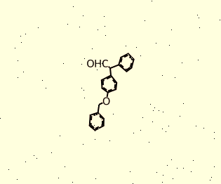 O=C[C@@H](c1ccccc1)c1ccc(OCc2ccccc2)cc1